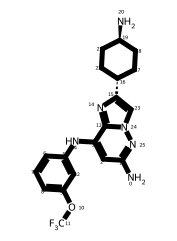 Nc1cc(Nc2cccc(OC(F)(F)F)c2)c2nc([C@H]3CC[C@H](N)CC3)cn2n1